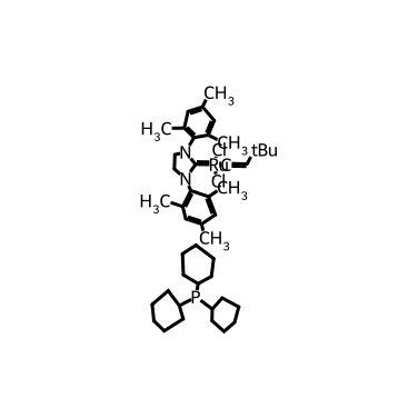 C1CCC(P(C2CCCCC2)C2CCCCC2)CC1.Cc1cc(C)c(N2CCN(c3c(C)cc(C)cc3C)[C]2=[Ru]([Cl])([Cl])=[C]=CC(C)(C)C)c(C)c1